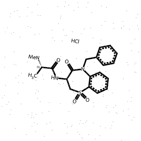 CN[C@@H](C)C(=O)NC1CS(=O)(=O)c2ccccc2N(Cc2ccccc2)C1=O.Cl